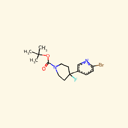 CC(C)(C)OC(=O)N1CCC(F)(c2ccc(Br)nc2)CC1